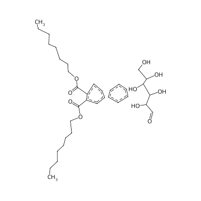 CCCCCCCCOC(=O)c1ccccc1C(=O)OCCCCCCCC.O=CC(O)C(O)C(O)C(O)CO.c1ccccc1